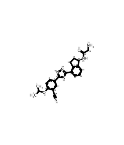 CC(C)Oc1ccc(-c2nnc(-c3cccc4c3CC[C@H]4NC(=O)CN)s2)cc1C#N